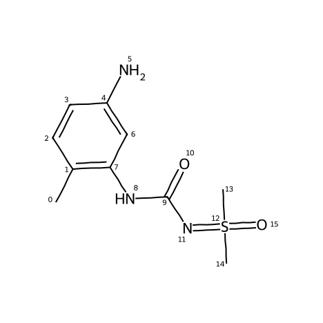 Cc1ccc(N)cc1NC(=O)N=S(C)(C)=O